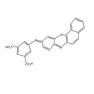 O=C(O)c1cc(/N=c2\ccc3nc4ccc5ccccc5c4sc-3c2)cc(C(=O)O)c1